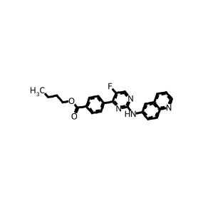 CCCCOC(=O)c1ccc(-c2nc(Nc3ccc4ncccc4c3)ncc2F)cc1